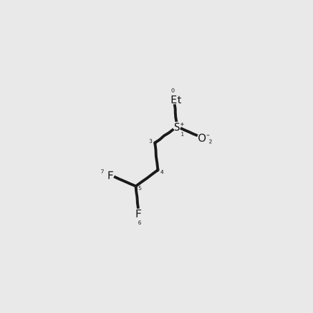 [CH2]C[S+]([O-])CCC(F)F